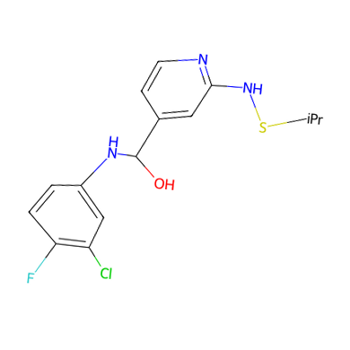 CC(C)SNc1cc(C(O)Nc2ccc(F)c(Cl)c2)ccn1